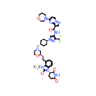 Cn1c(=O)n(C2CCC(=O)NC2=O)c2cccc(CC[C@@H]3CN(C[C@H]4CC[C@H](n5cc(NC(=O)c6cnn7ccc(N8CCCOCC8)nc67)c(C(F)F)n5)CC4)CCO3)c21